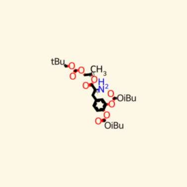 CC(C)COC(=O)Oc1ccc(C[C@H](N)C(=O)O[C@@H](C)COC(=O)OCC(C)(C)C)cc1OC(=O)OCC(C)C